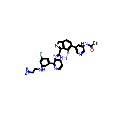 CCC(=O)Nc1cncc(-c2ccc3c(c2F)C(c2nc4c(-c5cc(F)cc(NCCN(C)C)c5)nccc4[nH]2)=NC3)c1